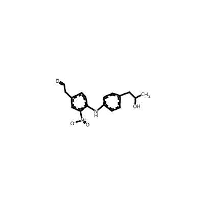 CC(O)Cc1ccc(Nc2ccc(CC=O)cc2[N+](=O)[O-])cc1